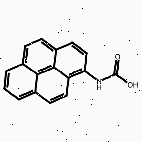 O=C(O)Nc1ccc2ccc3cccc4ccc1c2c34